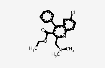 CCOC(=O)c1c(CN(C)C)nc2ccc(Cl)cc2c1-c1ccccc1